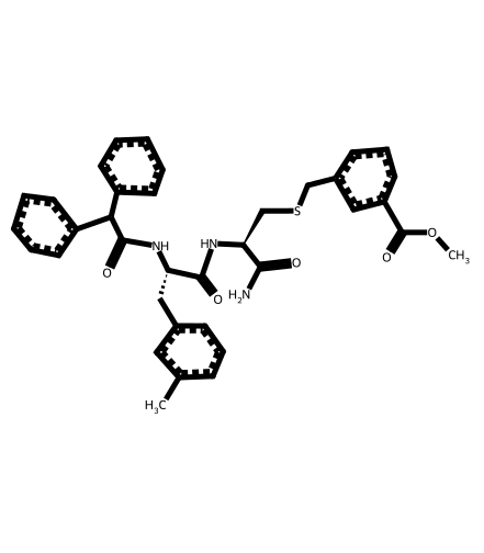 COC(=O)c1cccc(CSC[C@H](NC(=O)[C@H](Cc2cccc(C)c2)NC(=O)C(c2ccccc2)c2ccccc2)C(N)=O)c1